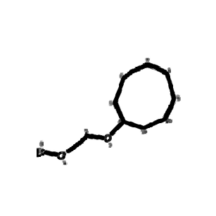 CCOCOC1CCCCCCC1